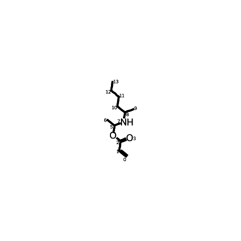 C=CC(=O)OC(C)NC(C)CCCC